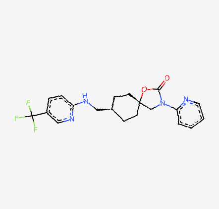 O=C1O[C@]2(CC[C@H](CNc3ccc(C(F)(F)F)cn3)CC2)CN1c1ccccn1